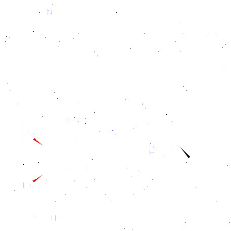 Cc1nc(N[C@H](C)c2ccccc2)nc(N[C@@H]2C[C@H](CO)[C@@H](O)[C@H]2O)c1-c1nc2cnccc2s1